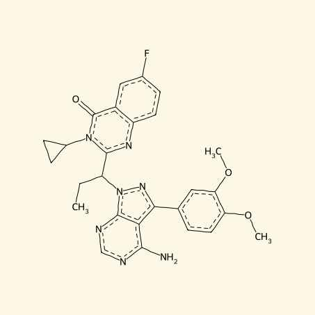 CCC(c1nc2ccc(F)cc2c(=O)n1C1CC1)n1nc(-c2ccc(OC)c(OC)c2)c2c(N)ncnc21